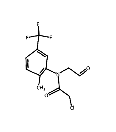 Cc1ccc(C(F)(F)F)cc1N(CC=O)C(=O)CCl